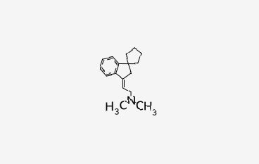 CN(C)CC=C1CC2(CCCC2)c2ccccc21